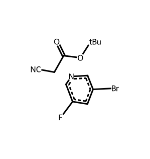 CC(C)(C)OC(=O)CC#N.Fc1cncc(Br)c1